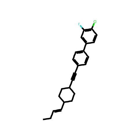 CCC=CC1CCC(C#Cc2ccc(-c3ccc(Cl)c(F)c3)cc2)CC1